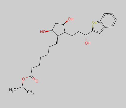 CC(C)OC(=O)CCCCCC[C@@H]1C(CC[C@@H](O)c2cc3ccccc3s2)[C@H](O)C[C@@H]1O